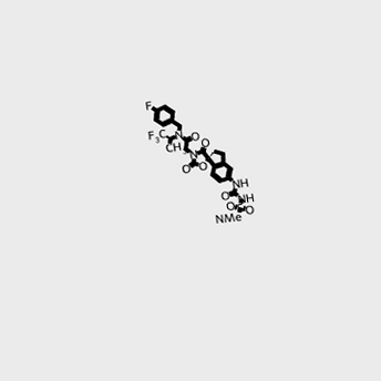 CNS(=O)(=O)NC(=O)Nc1ccc2c(c1)CC[C@@]21OC(=O)N(CC(=O)N(Cc2ccc(F)cc2)[C@@H](C)C(F)(F)F)C1=O